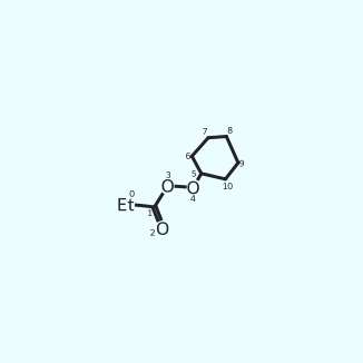 CCC(=O)OOC1CCCCC1